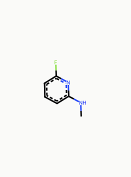 CNc1cccc(F)n1